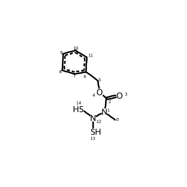 CN(C(=O)OCc1ccccc1)N(S)S